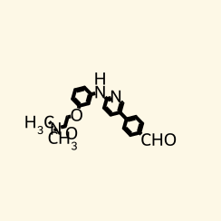 CN(C)C(=O)COc1cccc(Nc2ccc(-c3ccc(C=O)cc3)cn2)c1